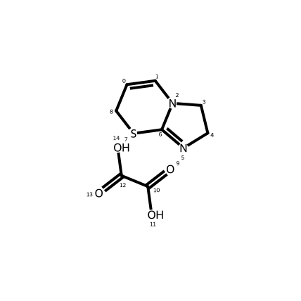 C1=CN2CCN=C2SC1.O=C(O)C(=O)O